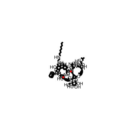 CCCCCCCCCNCCNCc1c(O)cc2c(c1O)-c1cc(ccc1O)[C@H]1NC(=O)[C@@H]3NC(=O)[C@H](CC(N)=O)NC(=O)[C@H](NC(=O)[C@@H](CC(C)C)NC)[C@H](O)c4ccc(c(C)c4)Oc4cc3cc(c4O[C@@H]3O[C@H](CO)[C@@H](O)[C@H](O)[C@H]3O)Oc3ccc(cc3Cl)[C@@H](O)[C@H](NC1=O)C(=O)N[C@@H]2C(=O)NC1C2CC3CC(C2)CC1C3